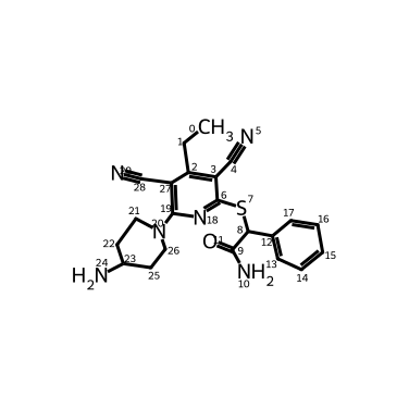 CCc1c(C#N)c(SC(C(N)=O)c2ccccc2)nc(N2CCC(N)CC2)c1C#N